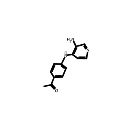 CC(=O)c1ccc(Nc2ccncc2N)cc1